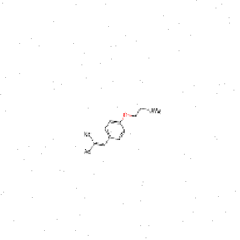 COCCOc1ccc(/C=C(\C#N)C(C)=O)cc1